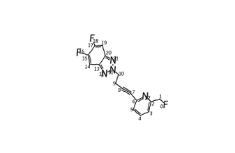 FCc1cccc(C#CCCn2nc3cc(F)c(F)cc3n2)n1